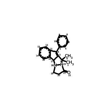 CC1(C)C2=C(c3ccccc3)c3ccccc3C2N2CCC(=O)N21